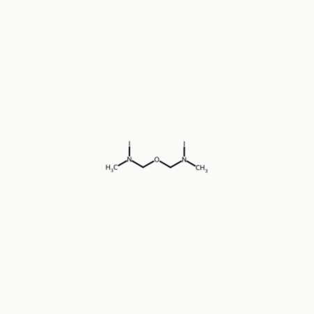 CN(I)COCN(C)I